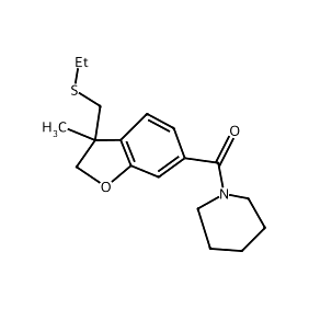 CCSCC1(C)COc2cc(C(=O)N3CCCCC3)ccc21